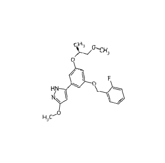 COC[C@H](C)Oc1cc(OCc2ccccc2F)cc(-c2cc(OC)n[nH]2)c1